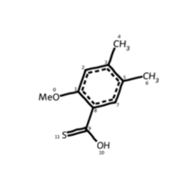 COc1cc(C)c(C)cc1C(O)=S